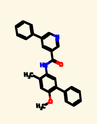 COc1cc(C)c(NC(=O)c2cncc(-c3ccccc3)c2)cc1-c1ccccc1